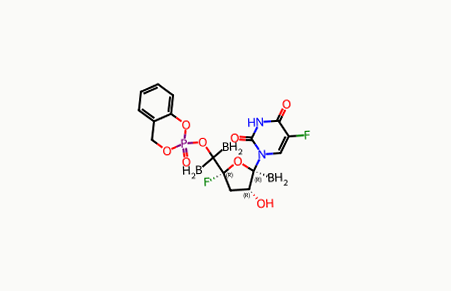 BC(B)(OP1(=O)OCc2ccccc2O1)[C@]1(F)C[C@@H](O)[C@](B)(n2cc(F)c(=O)[nH]c2=O)O1